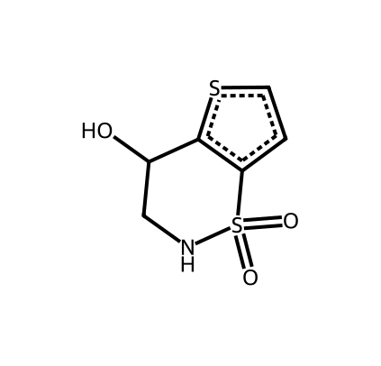 O=S1(=O)NCC(O)c2sccc21